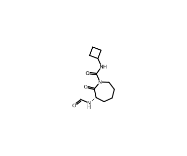 O=[C]N[C@H]1CCCCN(C(=O)NC2CCC2)C1=O